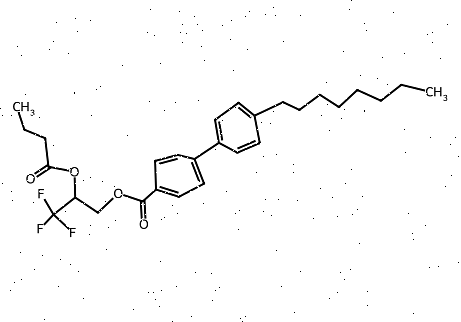 CCCCCCCCc1ccc(-c2ccc(C(=O)OCC(OC(=O)CCC)C(F)(F)F)cc2)cc1